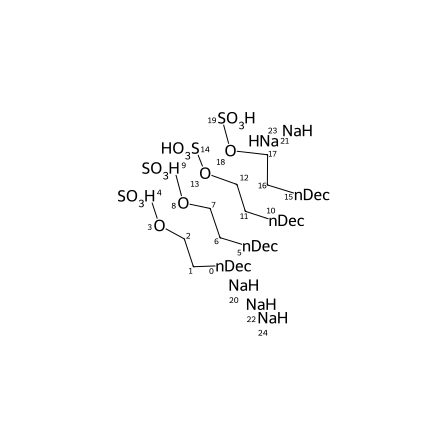 CCCCCCCCCCCCOS(=O)(=O)O.CCCCCCCCCCCCOS(=O)(=O)O.CCCCCCCCCCCCOS(=O)(=O)O.CCCCCCCCCCCCOS(=O)(=O)O.[NaH].[NaH].[NaH].[NaH].[NaH]